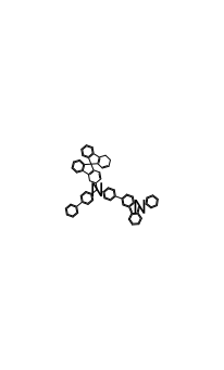 C1=CC2=C(CC1)c1ccccc1C21C2=C(CC(N(c3ccc(-c4ccccc4)cc3)c3ccc(-c4ccc5c(c4)c4ccccc4n5-c4ccccc4)cc3)C=C2)c2ccccc21